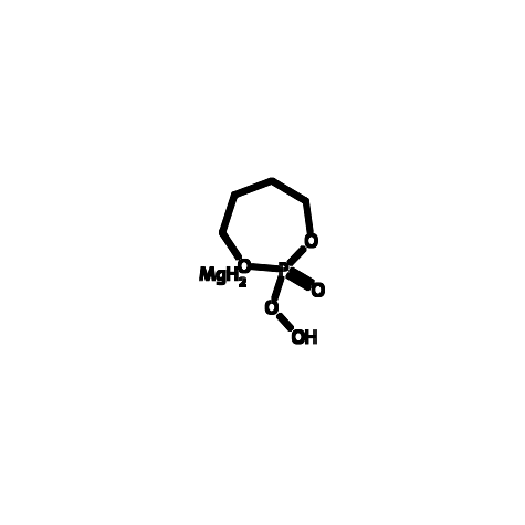 O=P1(OO)OCCCCO1.[MgH2]